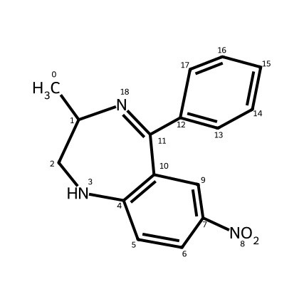 CC1CNc2ccc([N+](=O)[O-])cc2C(c2ccccc2)=N1